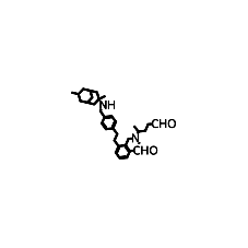 CC1CC2CC(C1)CC(C)(NCc1ccc(CCc3cccc(C=O)c3CN(C)C(C)CCC=O)cc1)C2